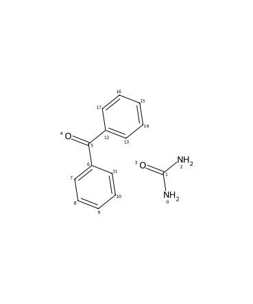 NC(N)=O.O=C(c1ccccc1)c1ccccc1